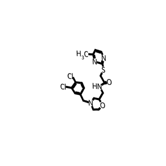 Cc1ccnc(SCC(=O)NCC2CN(Cc3ccc(Cl)c(Cl)c3)CCO2)n1